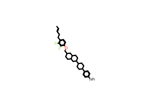 C/C=C/CCc1ccc(OCC2CCC3CC(C4CCC(c5ccc(CCC)cc5)CC4)CCC3C2)c(F)c1F